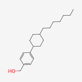 CCCCCCCC1CCC(c2ccc(CO)cc2)CC1